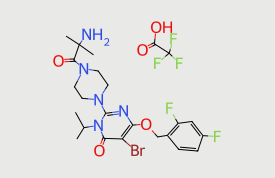 CC(C)n1c(N2CCN(C(=O)C(C)(C)N)CC2)nc(OCc2ccc(F)cc2F)c(Br)c1=O.O=C(O)C(F)(F)F